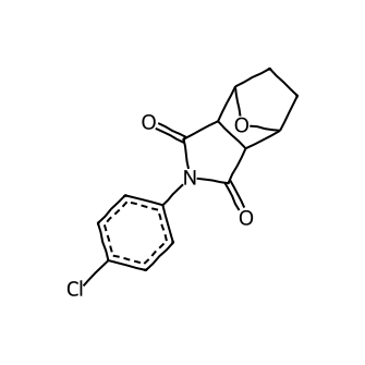 O=C1C2C3CCC(O3)C2C(=O)N1c1ccc(Cl)cc1